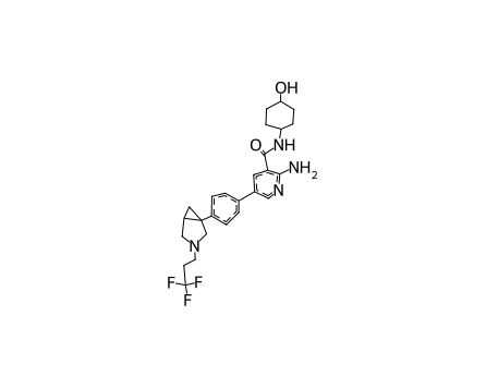 Nc1ncc(-c2ccc(C34CC3CN(CCC(F)(F)F)C4)cc2)cc1C(=O)NC1CCC(O)CC1